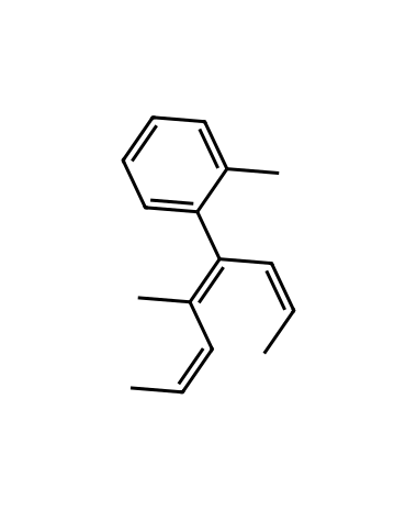 C\C=C/C(C)=C(\C=C/C)c1ccccc1C